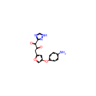 Nc1ccc(Oc2coc(CC(=O)C(=O)c3nc[nH]n3)c2)cc1